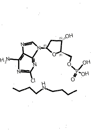 CCCCNCCCC.Nc1nc(Cl)nc2c1ncn2[C@H]1C[C@H](O)[C@@H](COP(=O)(O)O)O1